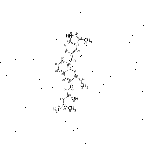 COc1cc2c(Oc3ccc4[nH]cc(C)c4c3)ncnc2cc1OCC(O)CN(C)C